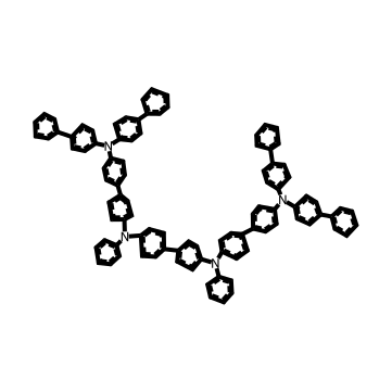 c1ccc(-c2ccc(N(c3ccc(-c4ccccc4)cc3)c3ccc(-c4ccc(N(c5ccccc5)c5ccc(-c6ccc(N(c7ccccc7)c7ccc(-c8ccc(N(c9ccc(-c%10ccccc%10)cc9)c9ccc(-c%10ccccc%10)cc9)cc8)cc7)cc6)cc5)cc4)cc3)cc2)cc1